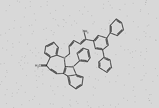 C=C1/C=C\c2c(n(-c3ccccc3)c3ccccc23)N(C/C=C\C=C(/N)c2cc(-c3ccccc3)cc(-c3ccccc3)c2)c2ccccc21